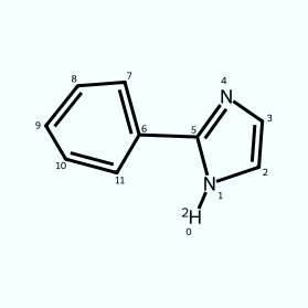 [2H]n1ccnc1-c1ccccc1